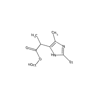 CCCCCCCCOC(=O)C(C)c1[nH]c(CC)nc1C